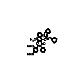 COc1ccc(CN(C(=O)c2c(OP(=O)(OCc3ccccc3)OCc3ccccc3)c3ccccc3n(C)c2=O)c2ccccc2)c(OC)c1